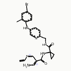 C=C/N=C\C(=C/N)C(=O)NC1(C(=O)NCc2ccc(Nc3ccc(Br)cc3C)cn2)CC1